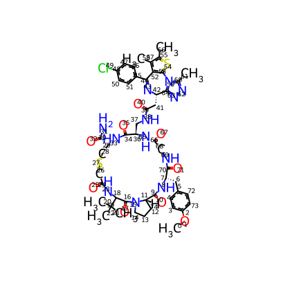 COc1ccc(C[C@@H]2NC(=O)[C@@H]3CCCN3C(=O)C(C(C)(C)C)NC(=O)CSC[C@H](C(N)=O)NC(=O)[C@@H](CNC(=O)C[C@@H]3N=C(c4ccc(Cl)cc4)c4c(sc(C)c4C)-n4c(C)nnc43)NC(=O)CNC2=O)cc1